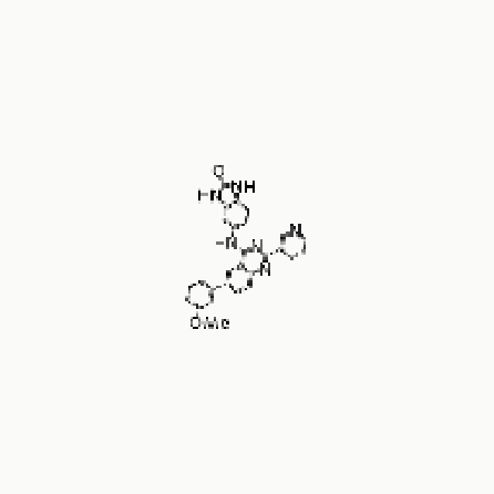 COc1cccc(-c2ccc3nc(-c4cccnc4)nc(Nc4ccc5[nH]c(=O)[nH]c5c4)c3c2)c1